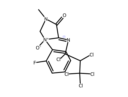 CN1C[N+]([O-])(c2ccccc2F)/C(=N\C(Cl)C(Cl)C(Cl)(Cl)Cl)C1=O